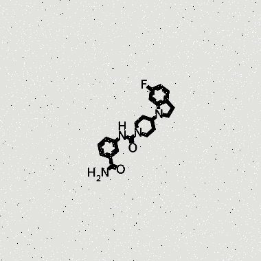 NC(=O)c1cccc(NC(=O)N2CCC(N3CCc4ccc(F)cc43)CC2)c1